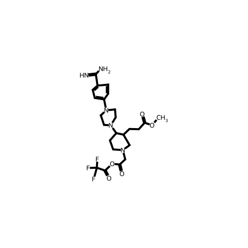 COC(=O)CCC1CN(CC(=O)OC(=O)C(F)(F)F)CCC1N1CCN(c2ccc(C(=N)N)cc2)CC1